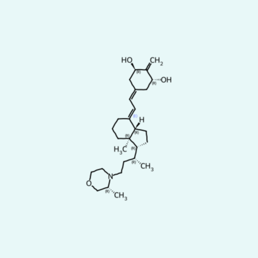 C=C1[C@H](O)CC(=C/C=C2\CCC[C@]3(C)[C@@H]([C@H](C)CCN4CCOC[C@H]4C)CC[C@@H]23)C[C@H]1O